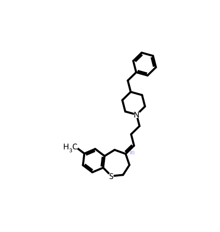 Cc1ccc2c(c1)C/C(=C\CCN1CCC(Cc3ccccc3)CC1)CCS2